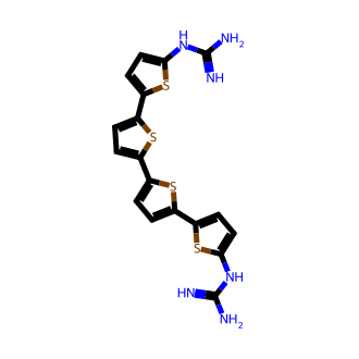 N=C(N)Nc1ccc(-c2ccc(-c3ccc(-c4ccc(NC(=N)N)s4)s3)s2)s1